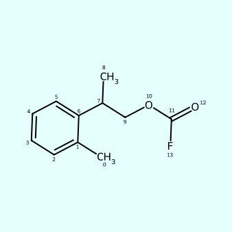 Cc1ccccc1C(C)COC(=O)F